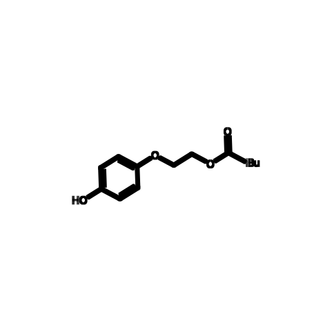 CCC(C)C(=O)OCCOc1ccc(O)cc1